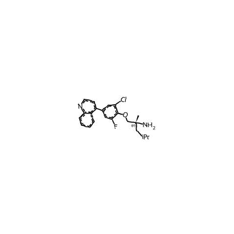 CC(C)C[C@@](C)(N)COc1c(F)cc(-c2ccnc3ccccc23)cc1Cl